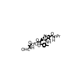 CCCNC(=O)c1cn2ncnc(Nc3cc(C(=O)N(C(=O)OCOC(=O)C(C)NC=O)C4CC4)ccc3C)c2c1C